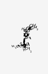 CCOC(=O)c1[nH]c(C)c(Cl)c1C#CCNC1CCN(C(=O)OC(C)(C)C)CC1